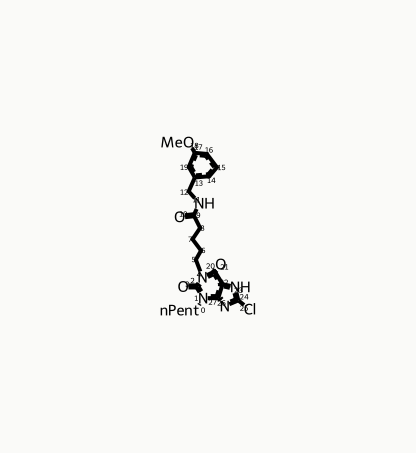 CCCCCn1c(=O)n(CCCCC(=O)NCc2cccc(OC)c2)c(=O)c2[nH]c(Cl)nc21